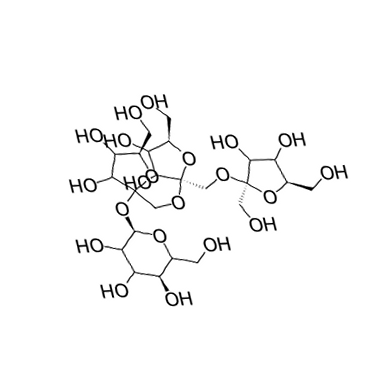 OCC1O[C@H](OC2(CO[C@]3(CO[C@]4(CO)O[C@H](CO)C(O)C4O)O[C@H](CO)C(O)C3O)O[C@H](CO)C(O)C2O)C(O)C(O)[C@@H]1O